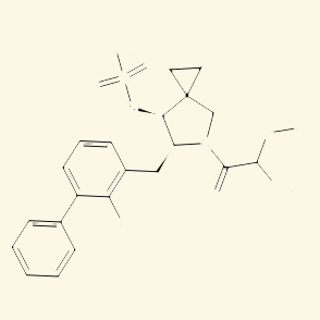 CCOC(C)C(=O)N1CC2(CC2)[C@H](NS(C)(=O)=O)[C@@H]1Cc1cccc(-c2ccccc2)c1F